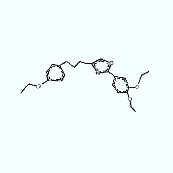 CCOc1ccc(CCCc2coc(-c3ccc(OCC)c(OCC)c3)n2)cc1